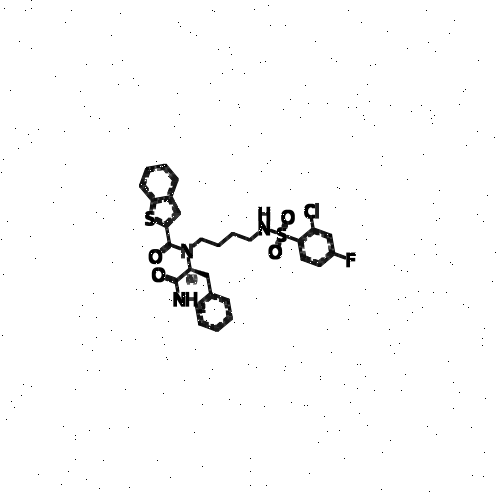 NC(=O)[C@H](Cc1ccccc1)N(CCCCNS(=O)(=O)c1ccc(F)cc1Cl)C(=O)c1cc2ccccc2s1